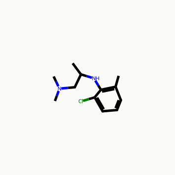 Cc1cccc(Cl)c1NC(C)CN(C)C